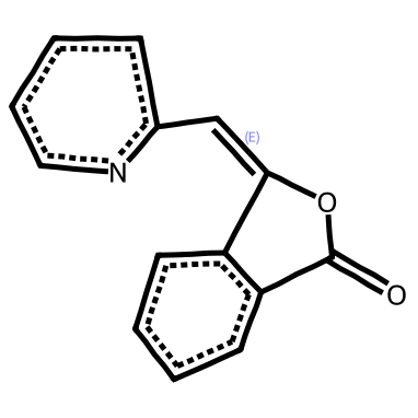 O=C1O/C(=C/c2ccccn2)c2ccccc21